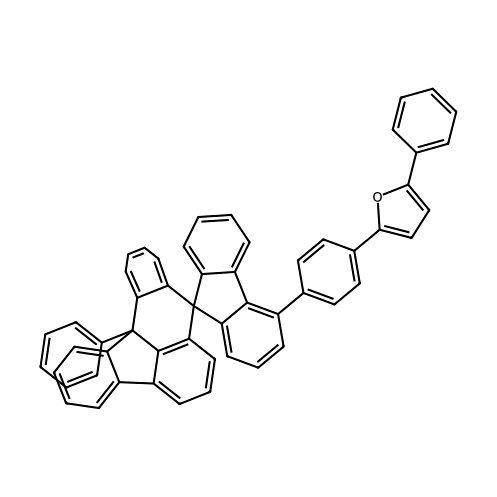 c1ccc(-c2ccc(-c3ccc(-c4cccc5c4-c4ccccc4C54c5ccccc5C5(c6ccccc6)c6ccccc6-c6cccc4c65)cc3)o2)cc1